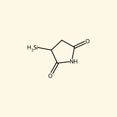 O=C1CC([SiH3])C(=O)N1